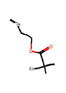 CCC(C)(C)C(=O)OCC[Te]C